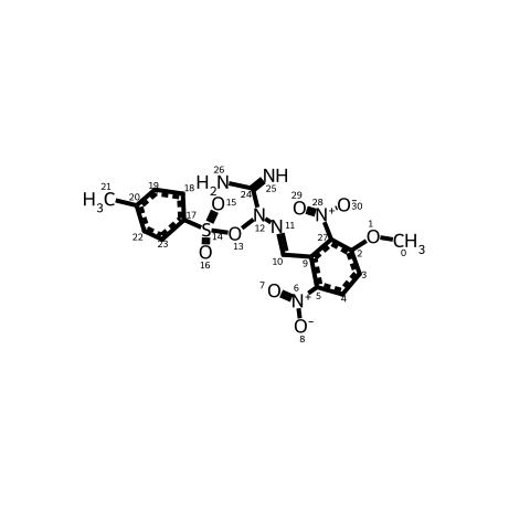 COc1ccc([N+](=O)[O-])c(C=NN(OS(=O)(=O)c2ccc(C)cc2)C(=N)N)c1[N+](=O)[O-]